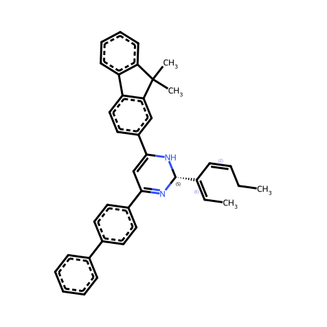 C/C=C(\C=C/CC)[C@@H]1N=C(c2ccc(-c3ccccc3)cc2)C=C(c2ccc3c(c2)C(C)(C)c2ccccc2-3)N1